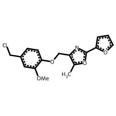 COc1cc(CCl)ccc1OCc1nc(-c2ccco2)oc1C